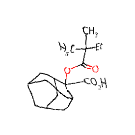 CCC(C)(C)C(=O)OC1(C(=O)O)C2CC3CC(C2)CC1C3